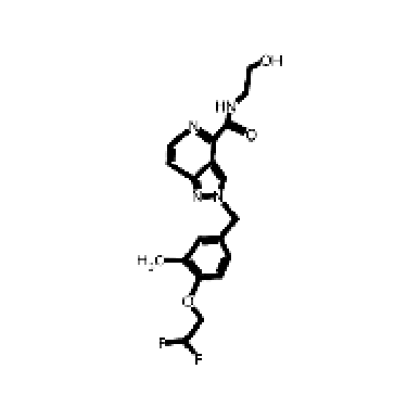 Cc1cc(Cn2cc3c(C(=O)NCCO)nccc3n2)ccc1OCC(F)F